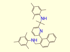 Cc1cc(C)c(NCc2ccc3ccccc3c2-c2cccc(C(C)(C)Nc3c(C)cc(C)cc3C)n2)c(C)c1